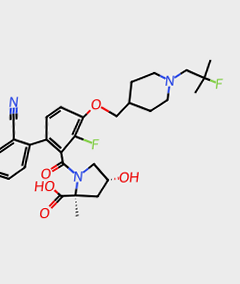 CC(C)(F)CN1CCC(COc2ccc(-c3ccccc3C#N)c(C(=O)N3C[C@H](O)C[C@@]3(C)C(=O)O)c2F)CC1